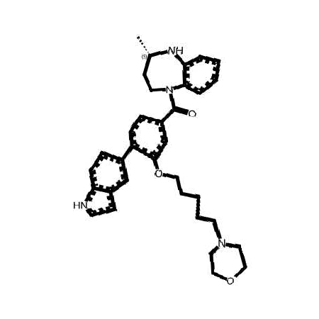 C[C@H]1CCN(C(=O)c2ccc(-c3ccc4[nH]ccc4c3)c(OCCCCCN3CCOCC3)c2)c2ccccc2N1